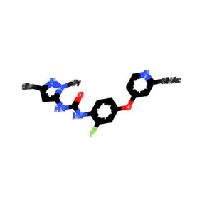 CC(=O)Nc1cc(Oc2ccc(NC(=O)Nc3cc(C(C)(C)C)nn3C(C)C)c(F)c2)ccn1